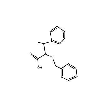 CC(c1ccccc1)C(SCc1ccccc1)C(=O)O